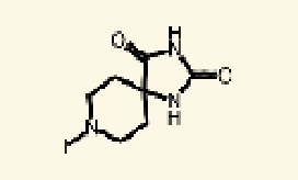 O=C1NC(=O)C2(CCN(I)CC2)N1